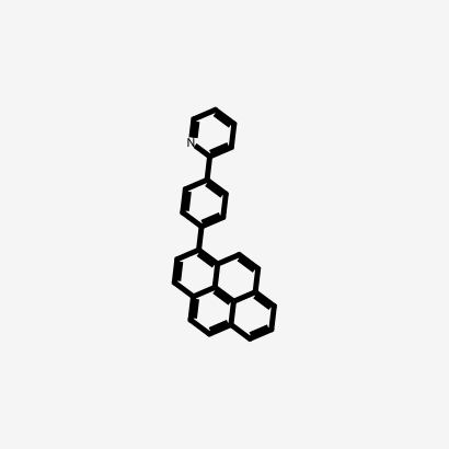 c1ccc(-c2ccc(-c3ccc4ccc5cccc6ccc3c4c56)cc2)nc1